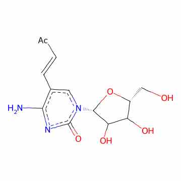 CC(=O)C=Cc1cn([C@@H]2O[C@H](CO)C(O)C2O)c(=O)nc1N